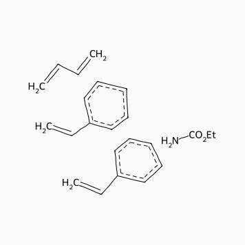 C=CC=C.C=Cc1ccccc1.C=Cc1ccccc1.CCOC(N)=O